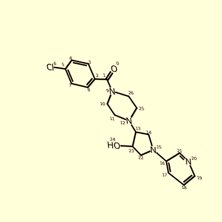 O=C(c1ccc(Cl)cc1)N1CCN(C2CN(c3cccnc3)CC2O)CC1